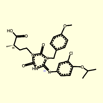 COc1ccc(Cn2c(=O)n(CC[C@H](C)C(=O)O)c(=O)[nH]/c2=N/c2ccc(OC(C)C)c(Cl)c2)cc1